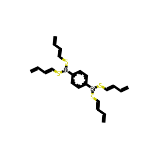 C=CC=C[S][Bi]([S]C=CC=C)[c]1cc[c]([Bi]([S]C=CC=C)[S]C=CC=C)cc1